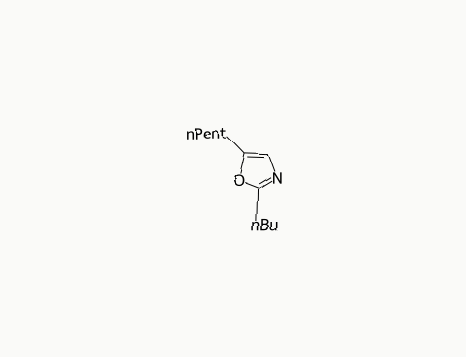 [CH2]CCCc1ncc(CCCCC)o1